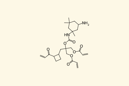 C=CC(=O)OCC(COC(=O)C=C)(CC1CCC1C(=O)C=C)OC(=O)NC1(C)CC(N)CC(C)(C)C1